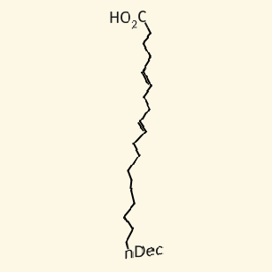 CCCCCCCCCCCCCCCCCCCC=CCCC=CCCCC(=O)O